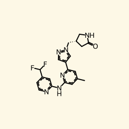 Cc1cc(Nc2cc(C(F)F)ccn2)nc(-c2cnn(C[C@@H]3CNC(=O)C3)c2)c1